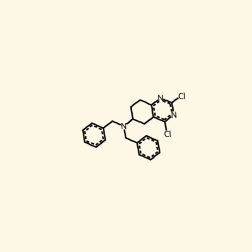 Clc1nc(Cl)c2c(n1)CCC(N(Cc1ccccc1)Cc1ccccc1)C2